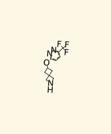 FC(F)(F)c1ccc(OC2CC3(CNC3)C2)nn1